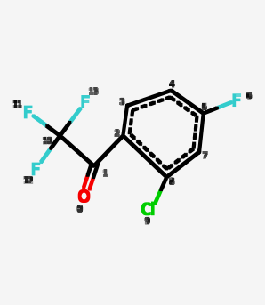 O=C(c1ccc(F)cc1Cl)C(F)(F)F